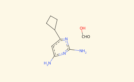 Nc1cc(C2CCC2)nc(N)n1.O=CO